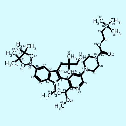 CCn1c(-c2cc(N3CCN(C(=O)OCC[Si](C)(C)C)CC3)cnc2[C@H](C)OC)c(CC(C)(C)CO)c2cc(B3OC(C)(C)C(C)(C)O3)ccc21